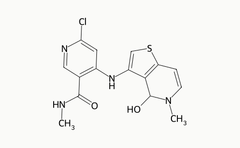 CNC(=O)c1cnc(Cl)cc1Nc1csc2c1C(O)N(C)C=C2